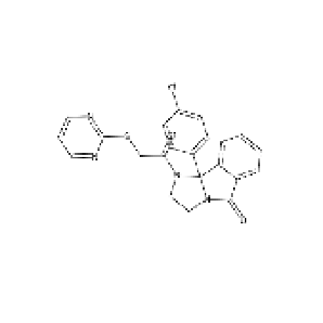 O=C(CSc1ncccn1)N1CCN2C(=O)c3ccccc3C12c1ccc(Cl)cc1